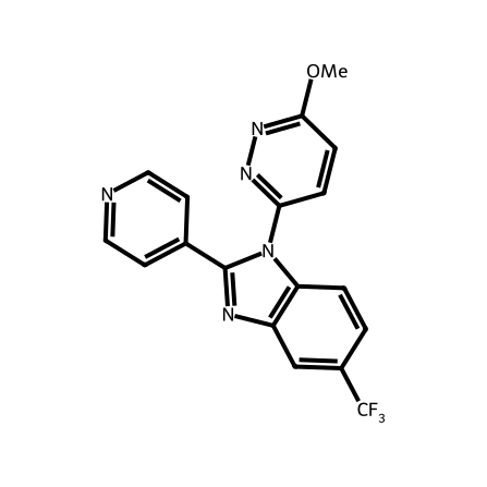 COc1ccc(-n2c(-c3ccncc3)nc3cc(C(F)(F)F)ccc32)nn1